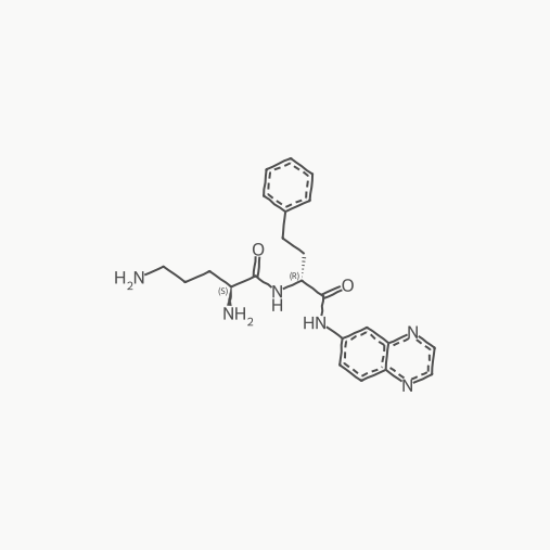 NCCC[C@H](N)C(=O)N[C@H](CCc1ccccc1)C(=O)Nc1ccc2nccnc2c1